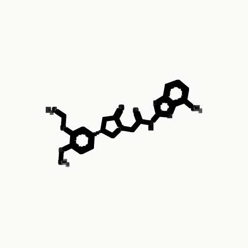 CCOc1cc([C@@H]2CC(=O)N(CC(=O)Nc3nc4c(C)cccc4s3)C2)ccc1OC